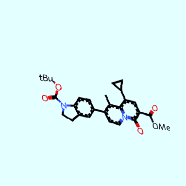 COC(=O)c1cc(C2CC2)c2c(C)c(-c3ccc4c(c3)CCN4C(=O)OC(C)(C)C)ccn2c1=O